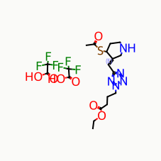 CCOC(=O)CCCn1nnc(/C=C2\CNCCC2SC(C)=O)n1.O=C(O)C(F)(F)F.O=C(O)C(F)(F)F